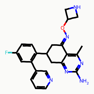 Cc1nc(N)nc2c1C(=NOC1CNC1)CC(c1ccc(F)cc1-c1cccnc1)C2